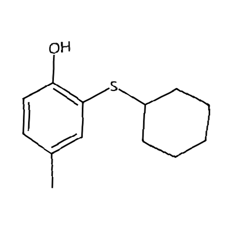 Cc1ccc(O)c(SC2CCCCC2)c1